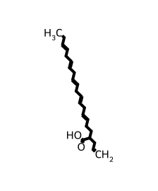 C=CCC(CCC=CCC=CCC=CCC=CCC=CCC)C(=O)O